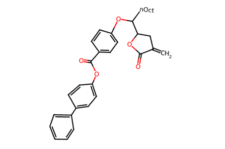 C=C1CC(C(CCCCCCCC)Oc2ccc(C(=O)Oc3ccc(-c4ccccc4)cc3)cc2)OC1=O